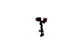 C=C1C[C@H]2C=Nc3cc(OCc4cc(COc5cc6c(cc5OC)C(O)N5CC(=C)C[C@H]5C=N6)cc(-c5cn(CCOCCOCCOCCNC(=O)CCCCCN6C(=O)C=CC6=O)nn5)c4)c(OC)cc3C(=O)N2C1